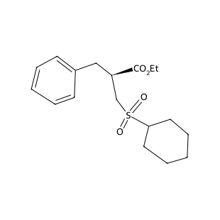 CCOC(=O)[C@H](Cc1ccccc1)CS(=O)(=O)C1CCCCC1